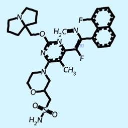 C=N/C(=C(/F)c1nc(OCC23CCCN2CCC3)nc(N2CCOC(CS(N)(=O)=O)C2)c1C)c1cccc2cccc(F)c12